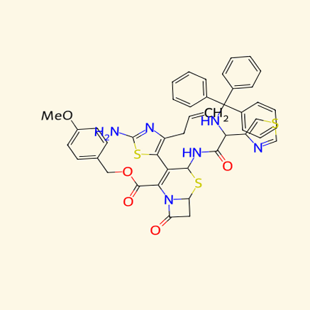 C=CCc1nc(N)sc1C1=C(C(=O)OCc2ccc(OC)cc2)N2C(=O)CC2SC1NC(=O)C(NC(c1ccccc1)(c1ccccc1)c1ccccc1)c1cscn1